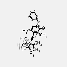 Cc1cn(Cc2ccccc2)c(=O)c(C)c1C#C[Si](C(C)C)(C(C)C)C(C)C